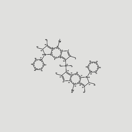 CC1=Cc2c(Br)c3c(cc2=C1C(C)(C)C1=c2cc4c(c(Br)c2C=C1C)=C(C)C(C)N4c1ccccc1)N(c1ccccc1)C(C)C=3C